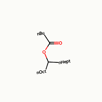 CCCCCCCCC(CCCCCCC)OC(=O)CCCC